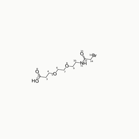 O=C(O)CCOCCOCCNC(=O)CBr